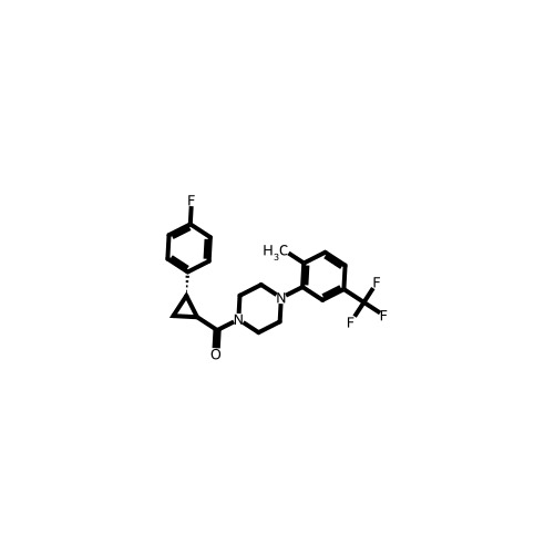 Cc1ccc(C(F)(F)F)cc1N1CCN(C(=O)C2C[C@@H]2c2ccc(F)cc2)CC1